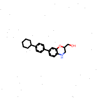 OCC1CNc2ccc(-c3ccc(C4CCCCC4)cc3)cc2O1